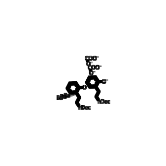 CCCCCCCCCCCCc1ccccc1[O-].CCCCCCCCCCCCc1ccccc1[O-].O=C([O-])[O-].O=C([O-])[O-].[Ba+2].[Ba+2].[Ba+2]